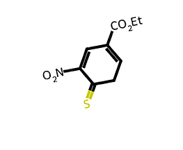 CCOC(=O)C1=CCC(=S)C([N+](=O)[O-])=C1